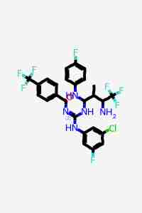 CC(C(N/C(=N\C(=O)c1ccc(C(F)(F)F)cc1)Nc1cc(F)cc(Cl)c1)Nc1ccc(F)cc1)C(N)C(F)(F)F